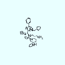 CC(C)(C)[C@H](c1nc(-c2ccccc2)cn1Cc1ccccc1)N(CCCN)C(=O)N1CCC[C@H](O)C1